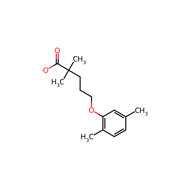 Cc1ccc(C)c(OCCCC(C)(C)C([O])=O)c1